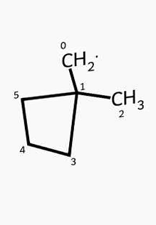 [CH2]C1(C)CCC1